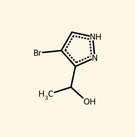 CC(O)c1n[nH]cc1Br